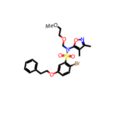 COCCOCN(c1onc(C)c1C)S(=O)(=O)c1cc(OCCc2ccccc2)ccc1Br